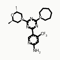 C[C@@H]1CN(c2nc(-c3cnc(N)cc3C(F)(F)F)nc(N3CCCCCC3)n2)C[C@@H](C)O1